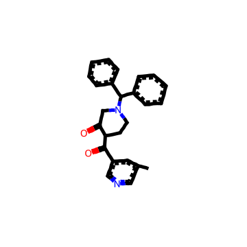 Cc1cncc(C(=O)C2CCN(C(c3ccccc3)c3ccccc3)CC2=O)c1